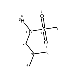 [3H]N(CC(C)C)S(C)(=O)=O